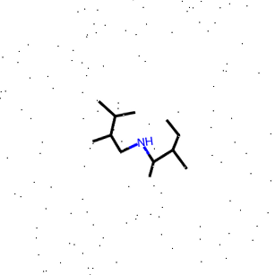 CCC(C)C(C)NCC(C)C(C)C